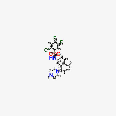 Cc1ccc(N2CCN(C)CC2)c2c1CC[C@@H](NS(=O)(=O)c1cc(F)c(F)cc1Cl)C2